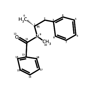 C[C@H](Cc1ccccc1)N(C)C(=O)c1ccccc1